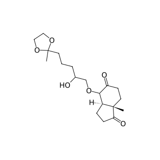 CC1(CCCC(O)COC2C(=O)CC[C@]3(C)C(=O)CC[C@@H]23)OCCO1